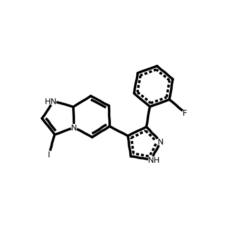 Fc1ccccc1-c1n[nH]cc1C1=CN2C(I)=CNC2C=C1